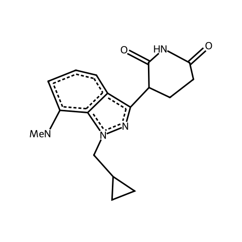 CNc1cccc2c(C3CCC(=O)NC3=O)nn(CC3CC3)c12